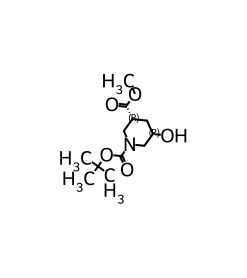 COC(=O)[C@@H]1C[C@@H](O)CN(C(=O)OC(C)(C)C)C1